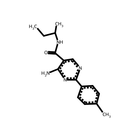 CCC(C)NC(=O)c1cnc(-c2ccc(C)cc2)nc1N